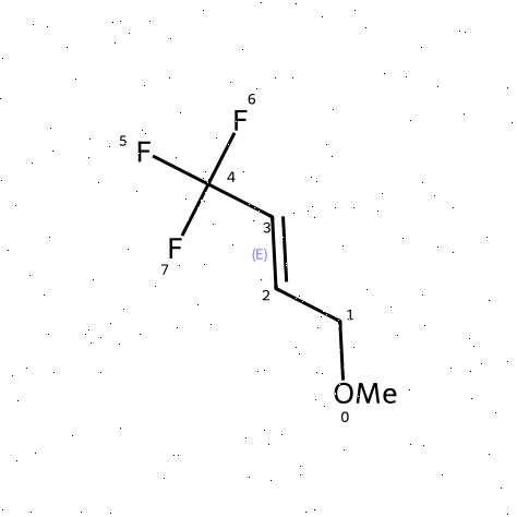 [CH2]OC/C=C/C(F)(F)F